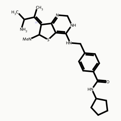 CNC1SC2=C(NCc3ccc(C(=O)NC4CCCC4)cc3)NCN=C2/C1=C(\C)C(C)N